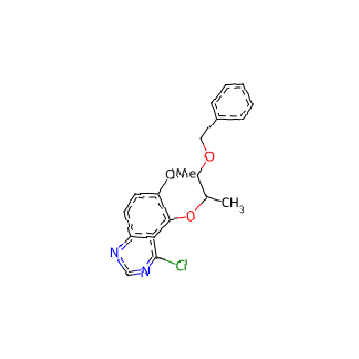 COc1ccc2ncnc(Cl)c2c1OC(C)COCc1ccccc1